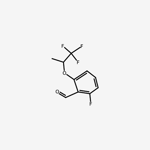 CC(Oc1cccc(F)c1C=O)C(F)(F)F